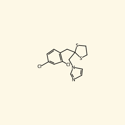 Clc1ccc(CC2(Cn3ccnc3)SCCS2)c(Cl)c1